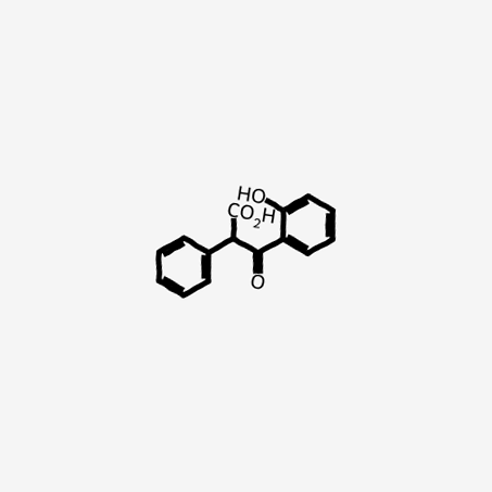 O=C(O)C(C(=O)c1ccccc1O)c1ccccc1